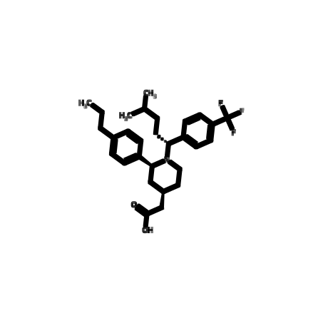 CCCc1ccc([C@@H]2C[C@H](CC(=O)O)CCN2[C@H](CCC(C)C)c2ccc(C(F)(F)F)cc2)cc1